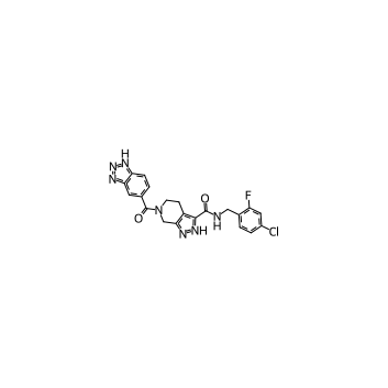 O=C(NCc1ccc(Cl)cc1F)c1[nH]nc2c1CCN(C(=O)c1ccc3[nH]nnc3c1)C2